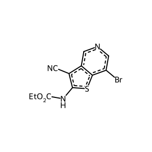 CCOC(=O)Nc1sc2c(Br)cncc2c1C#N